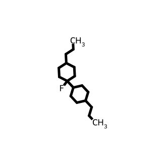 CCCC1CCC(C2(F)CCC(CCC)CC2)CC1